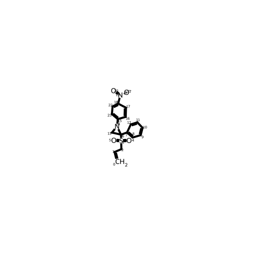 C=CCS(=O)(=O)C1(c2ccccc2)CN1c1ccc([N+](=O)[O-])cc1